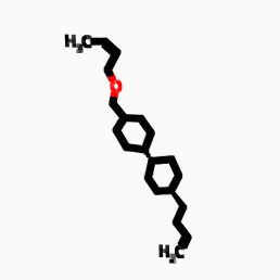 C=CCC[C@H]1CC[C@H](C2CCC(COC/C=C\C)CC2)CC1